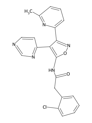 Cc1cccc(-c2noc(NC(=O)Cc3ccccc3Cl)c2-c2ccncn2)n1